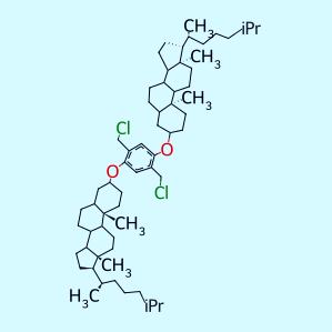 CC(C)CCC[C@@H](C)[C@H]1CCC2C3CCC4CC(Oc5cc(CCl)c(OC6CC[C@@]7(C)C(CCC8C7CC[C@@]7(C)C8CC[C@@H]7[C@H](C)CCCC(C)C)C6)cc5CCl)CC[C@]4(C)C3CC[C@@]21C